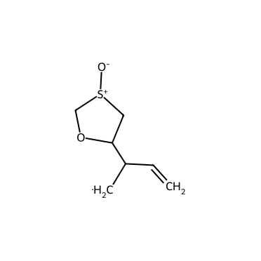 [CH2]C(C=C)C1C[S+]([O-])CO1